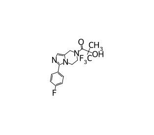 CC(O)(C(=O)N1CCn2c(cnc2-c2ccc(F)cc2)C1)C(F)(F)F